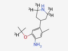 [2H]C1([2H])CC(c2cc(OC([2H])(C)C)c(N)cc2C)CC([2H])([2H])N1